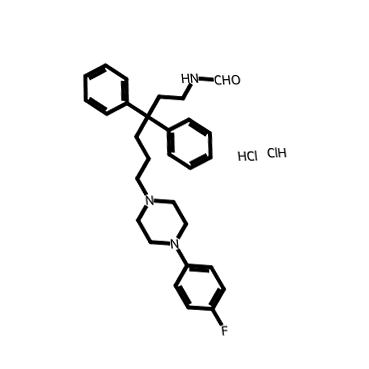 Cl.Cl.O=CNCCC(CCCN1CCN(c2ccc(F)cc2)CC1)(c1ccccc1)c1ccccc1